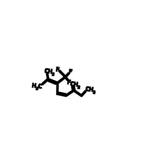 C=C(/C=C\C(=C(C)C)C(F)(F)F)CC